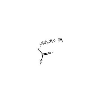 CC(=O)[O-].O.O.O.O.[Li+]